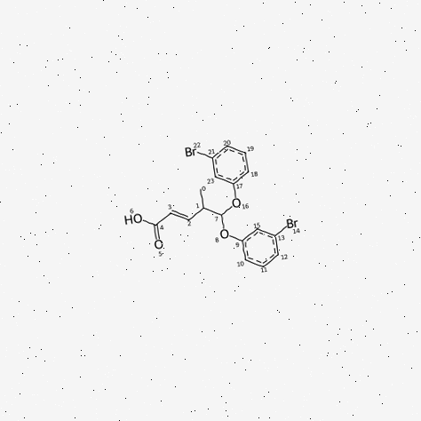 CC(C=CC(=O)O)C(Oc1cccc(Br)c1)Oc1cccc(Br)c1